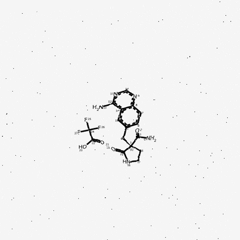 NC(=O)[C@]1(Cc2ccc3ncnc(N)c3c2)CCNC1=O.O=C(O)C(F)(F)F